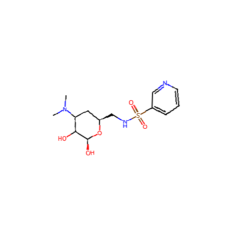 CN(C)C1C[C@@H](CNS(=O)(=O)c2cccnc2)O[C@@H](O)C1O